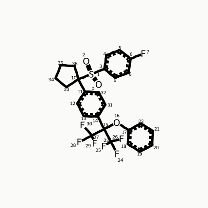 O=S(=O)(c1ccc(F)cc1)C1(c2ccc(C(Oc3ccccc3)(C(F)(F)F)C(F)(F)F)cc2)CCCC1